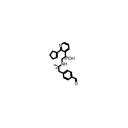 C[C@H](Cc1ccc(C=O)cc1)NC[C@H](O)c1cccnc1C1=CCCC1